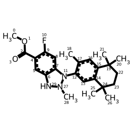 COC(=O)c1cc2c(cc1F)N(c1cc3c(cc1C)C(C)(C)CCC3(C)C)N(C)N2